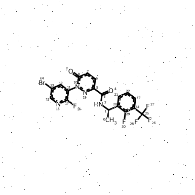 C[C@@H](NC(=O)c1ccc(=O)n(-c2cc(Br)cnc2F)n1)c1cccc(C(F)(F)F)c1F